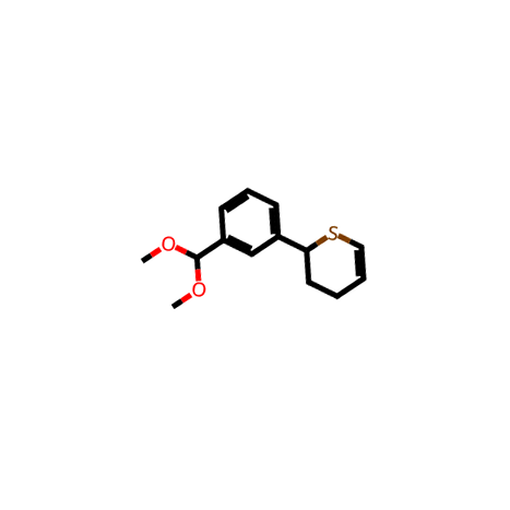 COC(OC)c1cccc(C2CCC=CS2)c1